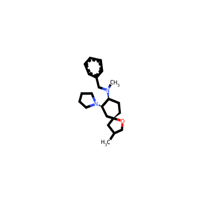 CC1CO[C@]2(CC[C@H](N(C)Cc3ccccc3)[C@@H](N3CCCC3)C2)C1